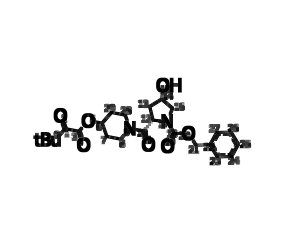 CC(C)(C)C(=O)C(=O)OC1CCN(C(=O)[C@@H]2CC(O)CN2C(=O)OCc2ccccc2)CC1